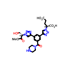 COC(=O)[C@H](CO)n1cc(-c2cc(C(=O)N3CCNCC3)cc(-c3cn([C@@H](CCC(=O)O)C(=O)O)nn3)c2)nn1